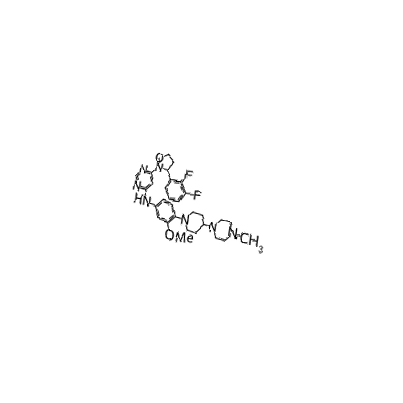 COc1cc(Nc2cc(N3OCCC3c3cccc(F)c3F)ncn2)ccc1N1CCC(N2CCN(C)CC2)CC1